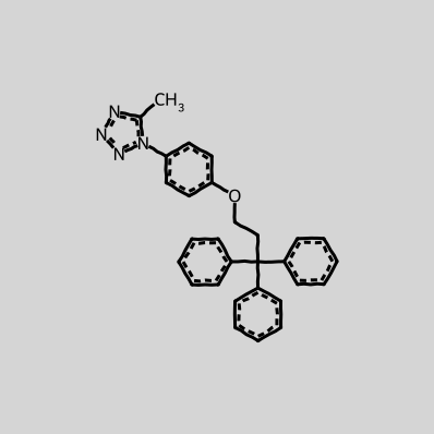 Cc1nnnn1-c1ccc(OCCC(c2ccccc2)(c2ccccc2)c2ccccc2)cc1